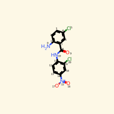 Nc1ccc(Cl)cc1C(=O)Nc1ccc([N+](=O)[O-])cc1Cl